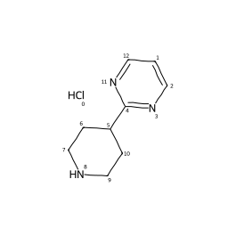 Cl.c1cnc(C2CCNCC2)nc1